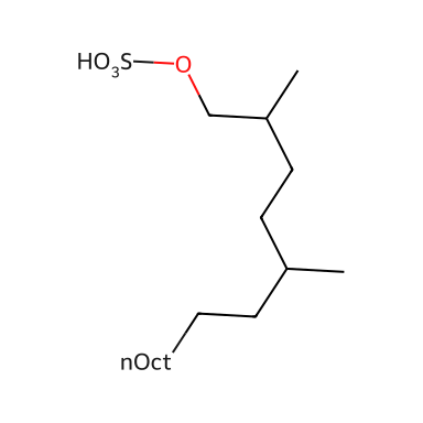 CCCCCCCCCCC(C)CCC(C)COS(=O)(=O)O